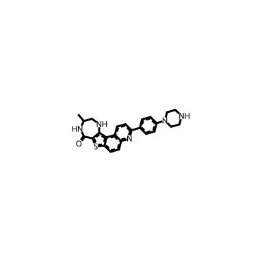 CC1CNc2c(sc3ccc4nc(-c5ccc(N6CCNCC6)cc5)ccc4c23)C(=O)N1